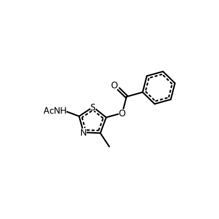 CC(=O)Nc1nc(C)c(OC(=O)c2ccccc2)s1